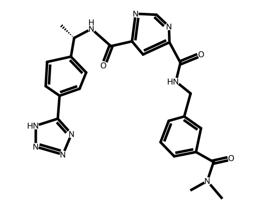 C[C@H](NC(=O)c1cc(C(=O)NCc2cccc(C(=O)N(C)C)c2)ncn1)c1ccc(-c2nnn[nH]2)cc1